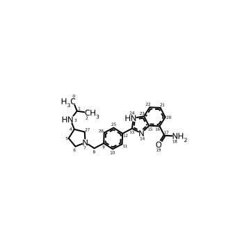 CC(C)NC1CCN(Cc2ccc(-c3nc4c(C(N)=O)cccc4[nH]3)cc2)C1